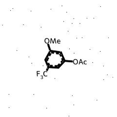 COc1cc(OC(C)=O)cc(C(F)(F)F)c1